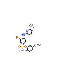 COc1ccc(CN(C)S(=O)(=O)c2ccc(Nc3cccc(C(F)(F)F)n3)c(Br)c2)cc1